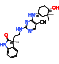 CC1(C)C[C@H](Nc2nc(NCC[C@]3(C)C(=O)Nc4ccccc43)ncc2C#N)CC[C@@H]1O